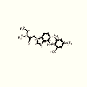 Cc1cc(C(F)(F)F)cc(C)c1Nc1nccc2c1ncn2CC(=O)N(C)CC(F)(F)F